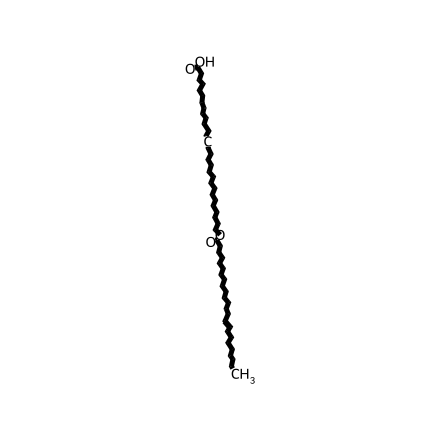 CCCCCCCCC=CCCCCCCCCCCCCCC(=O)OCCCCCCCCCCCCCCCCCCCCCCCCCCCCC(=O)O